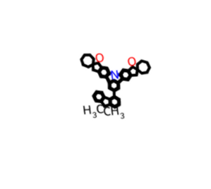 CC1(C)c2ccccc2-c2c(-c3cc4c5cc6c(cc5n5c7cc8c(cc7c(c3)c45)CC3(CCCCCC3)C8=O)C(=O)C3(CCCCCC3)C6)cccc21